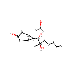 CC(C)=O.CCCCCC(C)(O)C(O)C1C2CC(=O)CC21